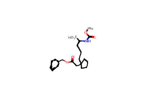 CC(C)(C)OC(=O)NC(CCCC1(CC(=O)OCc2ccccc2)CCCC1)C(=O)O